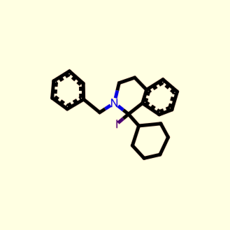 IC1(C2CCCCC2)c2ccccc2CCN1Cc1ccccc1